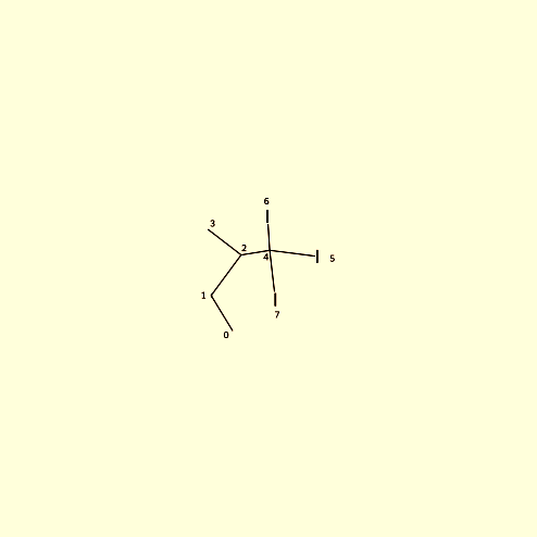 CCC(C)C(I)(I)I